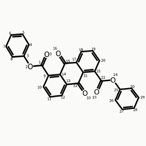 O=C(Oc1ccccc1)c1cccc2c1C(=O)c1cccc(C(=O)Oc3ccccc3)c1C2=O